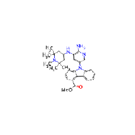 COC(=O)c1cccc2c1c1ccccc1n2-c1cnc(N)c(NC2CC(C)(C)N(C)C(C)(C)C2)c1